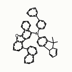 CC1(C)c2cc(N(c3cccc(-c4ccccc4)c3)c3cc4c(oc5cccc(-c6cccc7ccccc67)c54)c4ccccc34)ccc2C2C=CC=CC21